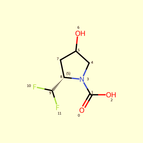 O=C(O)N1CC(O)C[C@H]1C(F)F